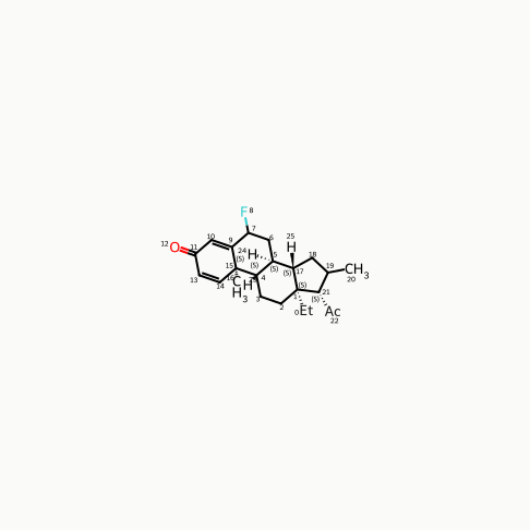 CC[C@]12CC[C@H]3[C@@H](CC(F)C4=CC(=O)C=C[C@@]43C)[C@@H]1CC(C)[C@@H]2C(C)=O